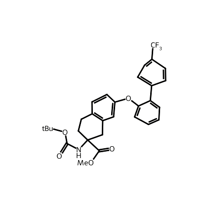 COC(=O)C1(NC(=O)OC(C)(C)C)CCc2ccc(Oc3ccccc3-c3ccc(C(F)(F)F)cc3)cc2C1